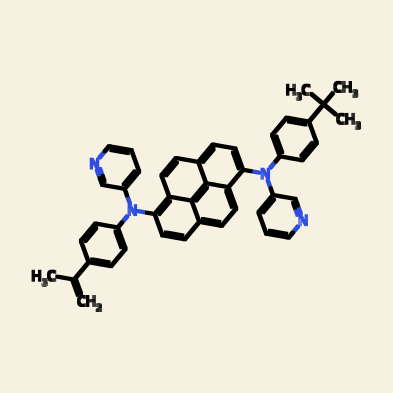 C=C(C)c1ccc(N(c2cccnc2)c2ccc3ccc4c(N(c5ccc(C(C)(C)C)cc5)c5cccnc5)ccc5ccc2c3c54)cc1